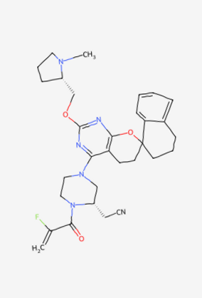 C=C(F)C(=O)N1CCN(c2nc(OC[C@@H]3CCCN3C)nc3c2CCC2(CCCc4ccccc42)O3)C[C@@H]1CC#N